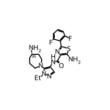 CCn1ncc(NC(=O)c2nc(-c3c(F)cccc3F)sc2N)c1N1CCC[C@@H](N)CC1